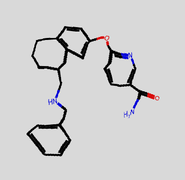 NC(=O)c1ccc(Oc2ccc3c(c2)C(CNCc2ccccc2)CCC3)nc1